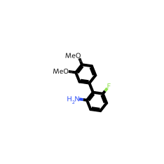 COc1ccc(-c2c(N)cccc2F)cc1OC